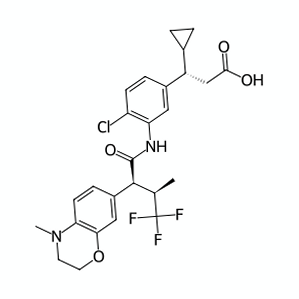 C[C@H]([C@H](C(=O)Nc1cc([C@@H](CC(=O)O)C2CC2)ccc1Cl)c1ccc2c(c1)OCCN2C)C(F)(F)F